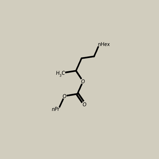 CCCCCCCCC(C)OC(=O)OCCC